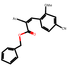 COc1cc(C#N)ccc1/C=C(/C(C)=O)C(=O)OCc1ccccc1